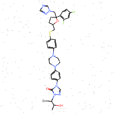 CCC(C(C)O)n1ncn(-c2ccc(N3CCN(c4ccc(SCC5CCC(Cn6cncn6)(c6ccc(F)cc6F)O5)cc4)CC3)cc2)c1=O